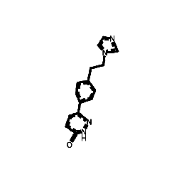 O=c1ccc(-c2ccc(CCn3ccnc3)cc2)n[nH]1